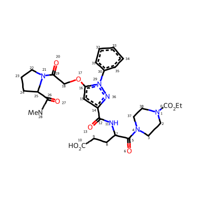 CCOC(=O)N1CCN(C(=O)C(CCC(=O)O)NC(=O)c2cc(OCC(=O)N3CCCC3C(=O)NC)n(-c3ccccc3)n2)CC1